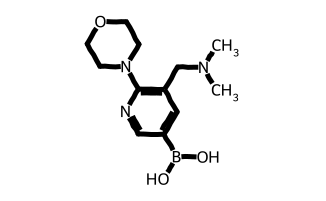 CN(C)Cc1cc(B(O)O)cnc1N1CCOCC1